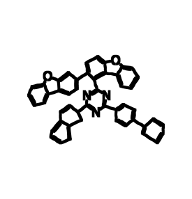 C1=CC(c2nc(-c3ccc(-c4ccccc4)cc3)nc(-c3c(-c4ccc5c(c4)oc4ccccc45)ccc4oc5ccccc5c34)n2)Cc2ccccc21